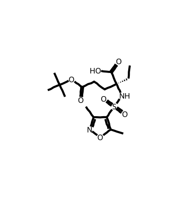 CC[C@@](CCC(=O)OC(C)(C)C)(NS(=O)(=O)c1c(C)noc1C)C(=O)O